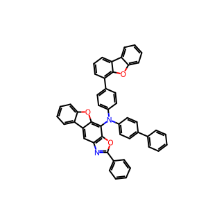 c1ccc(-c2ccc(N(c3ccc(-c4cccc5c4oc4ccccc45)cc3)c3c4oc(-c5ccccc5)nc4cc4c3oc3ccccc34)cc2)cc1